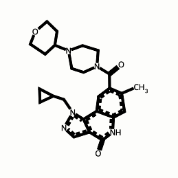 Cc1cc2[nH]c(=O)c3cnn(CC4CC4)c3c2cc1C(=O)N1CCN(C2CCOCC2)CC1